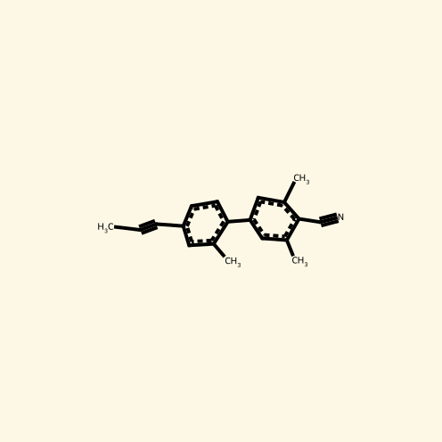 CC#Cc1ccc(-c2cc(C)c(C#N)c(C)c2)c(C)c1